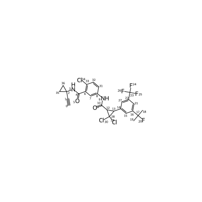 C#CC1(NC(=O)c2cc(NC(=O)C3C(c4cc(C(C)(C)F)cc(C(F)(F)F)c4)C3(Cl)Cl)ccc2Cl)CC1